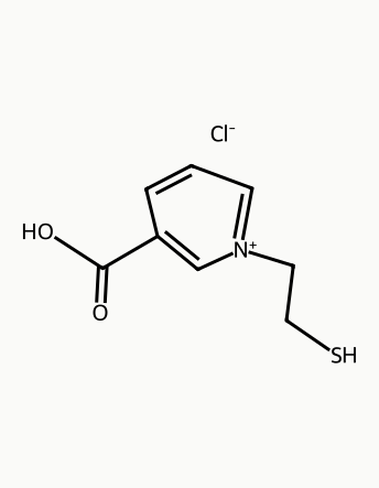 O=C(O)c1ccc[n+](CCS)c1.[Cl-]